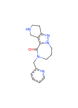 O=C1c2c3c(nn2CCCN1Cc1ccccn1)CCNC3